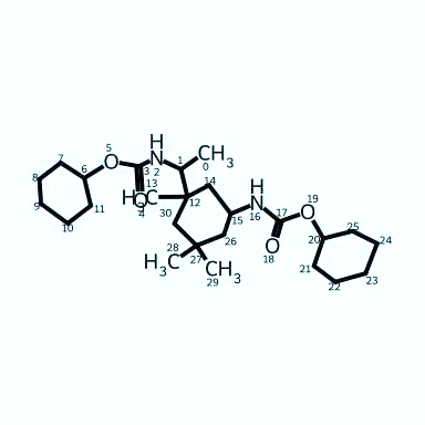 CC(NC(=O)OC1CCCCC1)C1(C)CC(NC(=O)OC2CCCCC2)CC(C)(C)C1